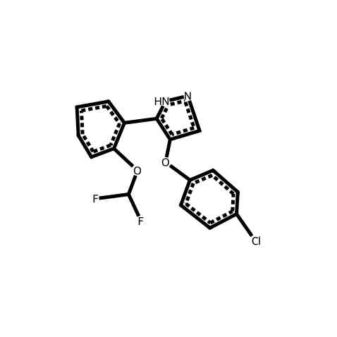 FC(F)Oc1ccccc1-c1[nH]ncc1Oc1ccc(Cl)cc1